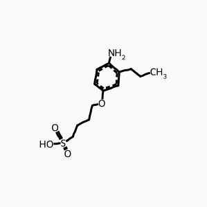 CCCc1cc(OCCCCS(=O)(=O)O)ccc1N